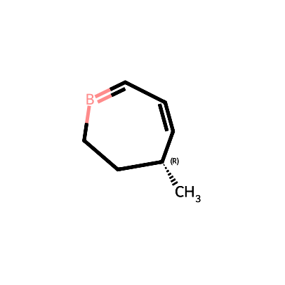 C[C@H]1C=CC=BCC1